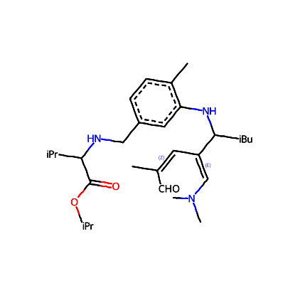 CCC(C)C(Nc1cc(CNC(C(=O)OC(C)C)C(C)C)ccc1C)C(/C=C(/C)C=O)=C/N(C)C